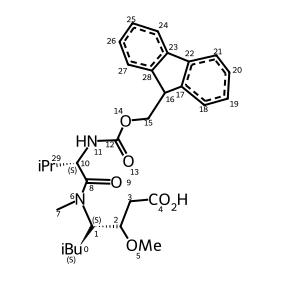 CC[C@H](C)[C@@H](C(CC(=O)O)OC)N(C)C(=O)[C@@H](NC(=O)OCC1c2ccccc2-c2ccccc21)C(C)C